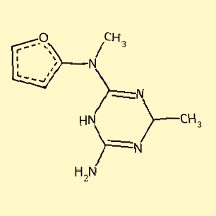 CC1N=C(N)NC(N(C)c2ccco2)=N1